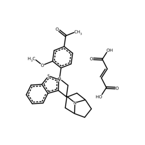 COc1cc(C(C)=O)ccc1OCCN1C2CCC1CC(c1nsc3ccccc13)C2.O=C(O)/C=C/C(=O)O